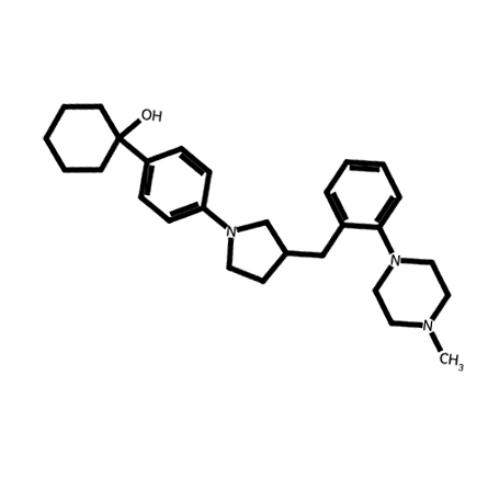 CN1CCN(c2ccccc2CC2CCN(c3ccc(C4(O)CCCCC4)cc3)C2)CC1